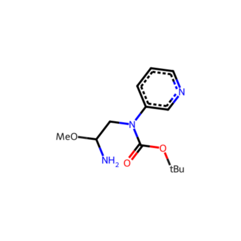 COC(N)CN(C(=O)OC(C)(C)C)c1cccnc1